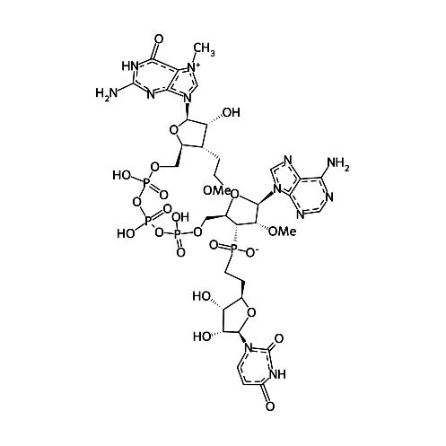 COCC[C@H]1[C@@H](O)[C@H](n2c[n+](C)c3c(=O)[nH]c(N)nc32)O[C@@H]1COP(=O)(O)OP(=O)(O)OP(=O)(O)OC[C@H]1O[C@@H](n2cnc3c(N)ncnc32)[C@H](OC)[C@@H]1P(=O)([O-])CC[C@H]1O[C@@H](n2ccc(=O)[nH]c2=O)[C@H](O)[C@@H]1O